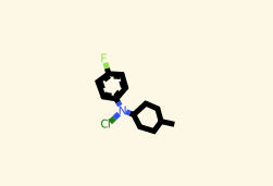 CC1CCC(N(Cl)c2ccc(F)cc2)CC1